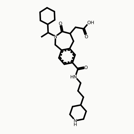 CC(C1CCCCC1)N1Cc2ccc(C(=O)NCCCC3CCNCC3)cc2CC(CC(=O)O)C1=O